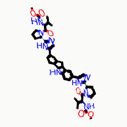 COC(=O)NC(C(=O)N1CCC[C@H]1c1ncc(-c2ccc3c(c2)Cc2c-3[nH]c3ccc(-c4cnc([C@@H]5CCCN5C(=O)[C@@H](NC(=O)OC)C(C)C)[nH]4)cc23)[nH]1)C(C)C